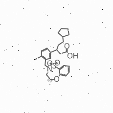 Cc1ccc(C(CCC2CCCC2)CC(=O)O)cc1CN1C[C@@H](C)Oc2ccccc2S1(=O)=O